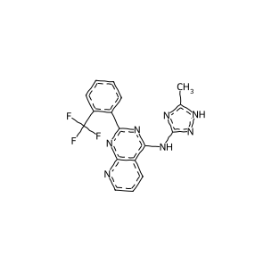 Cc1nc(Nc2nc(-c3ccccc3C(F)(F)F)nc3ncccc23)n[nH]1